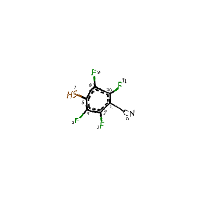 N#Cc1c(F)c(F)c(S)c(F)c1F